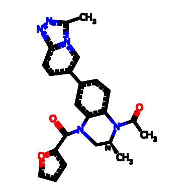 CC(=O)N1c2ccc(-c3ccc4nnc(C)n4c3)cc2N(C(=O)c2ccco2)C[C@@H]1C